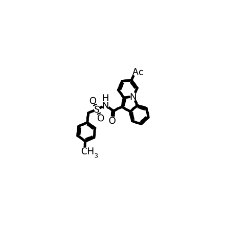 CC(=O)c1ccc2c(C(=O)NS(=O)(=O)Cc3ccc(C)cc3)c3ccccc3n2c1